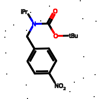 CC(C)N(Cc1ccc([N+](=O)[O-])cc1)C(=O)OC(C)(C)C